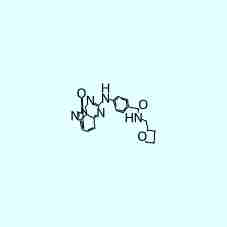 O=C1CC=NC2=CC=CC3=NC(Nc4ccc(C(=O)NCC5CCCO5)cc4)=NCC23C1